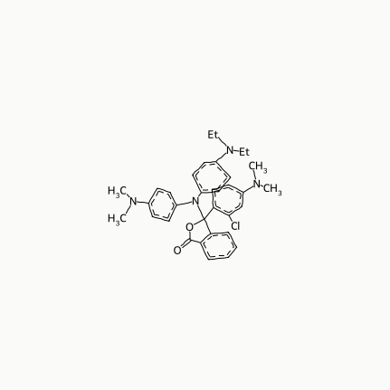 CCN(CC)c1ccc(N(c2ccc(N(C)C)cc2)C2(c3ccc(N(C)C)cc3Cl)OC(=O)c3ccccc32)cc1